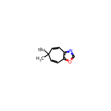 CC(C)(C)C1(C)C=Cc2ncoc2C=C1